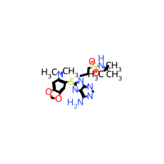 CN(C)c1cc2c(cc1Sc1nc3c(N)ncnc3n1CCCS(=O)(=O)NC(C)(C)C)OCO2